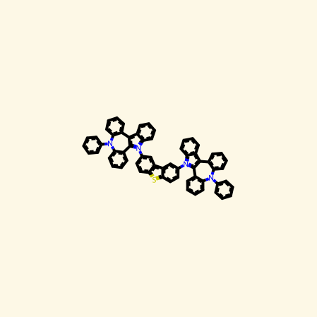 c1ccc(N2c3ccccc3-c3c(n(-c4ccc5sc6ccc(-n7c8c(c9ccccc97)-c7ccccc7N(c7ccccc7)c7ccccc7-8)cc6c5c4)c4ccccc34)-c3ccccc32)cc1